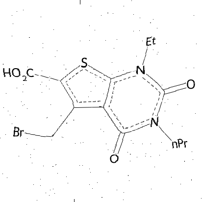 CCCn1c(=O)c2c(CBr)c(C(=O)O)sc2n(CC)c1=O